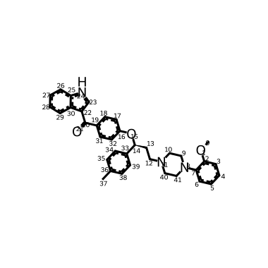 COc1ccccc1N1CCN(CC[C@H](Oc2ccc(C(=O)c3c[nH]c4ccccc34)cc2)c2ccc(C)cc2)CC1